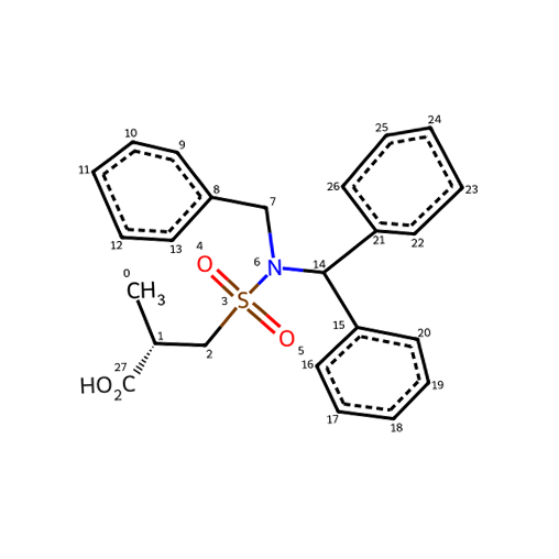 C[C@H](CS(=O)(=O)N(Cc1ccccc1)C(c1ccccc1)c1ccccc1)C(=O)O